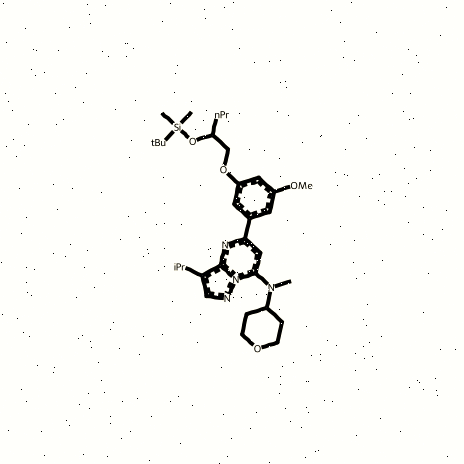 CCCC(COc1cc(OC)cc(-c2cc(N(C)C3CCOCC3)n3ncc(C(C)C)c3n2)c1)O[Si](C)(C)C(C)(C)C